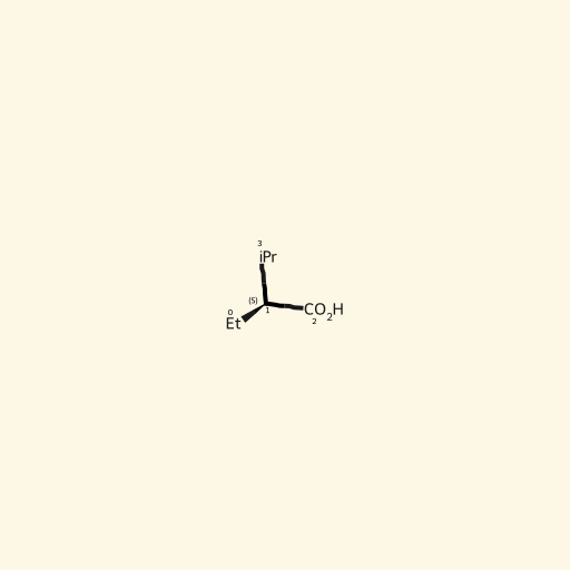 CC[C@H](C(=O)O)C(C)C